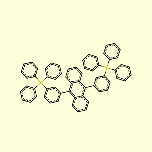 c1ccc(S(c2ccccc2)(c2ccccc2)c2cccc(-c3c4ccccc4c(-c4cccc(S(c5ccccc5)(c5ccccc5)c5ccccc5)c4)c4ccccc34)c2)cc1